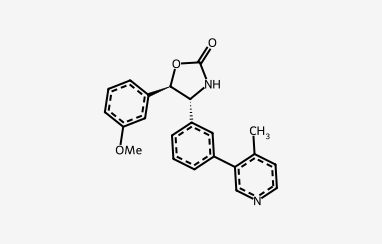 COc1cccc([C@H]2OC(=O)N[C@@H]2c2cccc(-c3cnccc3C)c2)c1